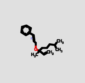 C=CC(C)(CCCC(C)C)OC/C=C/c1ccccc1